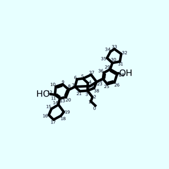 CCCC12CC3CC(c4ccc(O)c(C5CCCCC5)c4)(C1)CC(c1ccc(O)c(C4CCCCC4)c1)(C3)C2